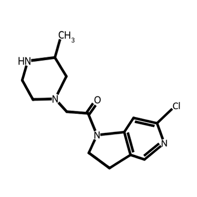 CC1CN(CC(=O)N2CCc3cnc(Cl)cc32)CCN1